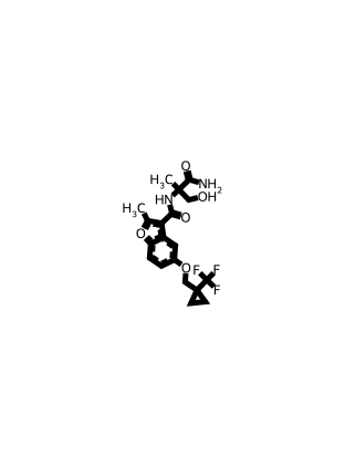 Cc1oc2ccc(OCC3(C(F)(F)F)CC3)cc2c1C(=O)NC(C)(CO)C(N)=O